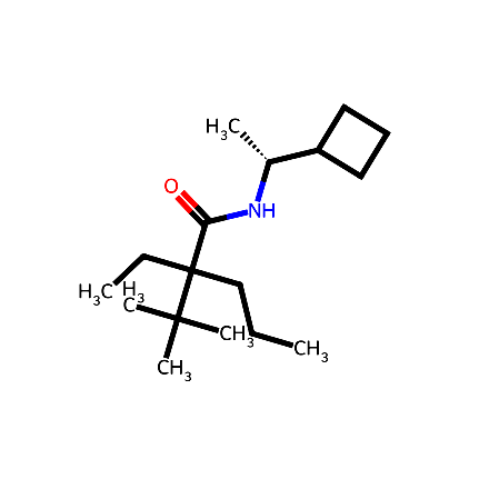 CCCC(CC)(C(=O)N[C@H](C)C1CCC1)C(C)(C)C